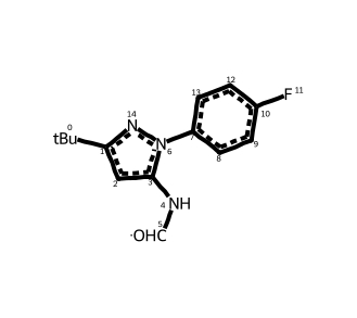 CC(C)(C)c1cc(N[C]=O)n(-c2ccc(F)cc2)n1